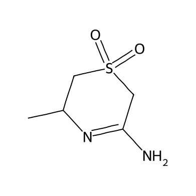 CC1CS(=O)(=O)CC(N)=N1